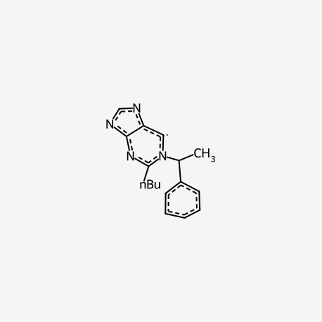 CCCCc1nc2ncnc-2[c]n1C(C)c1ccccc1